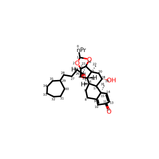 CCCC1O[C@@H]2C[C@H]3[C@@H]4CCC5=CC(=O)C=C[C@]5(C)C4[C@@H](O)C[C@]3(C)[C@]2(C(=O)CCCC2CCCCCC2)O1